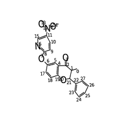 CC1C(=O)c2cc(Oc3ccc([N+](=O)[O-])cn3)ccc2OC1c1ccccc1